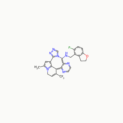 Cc1cc2c3n1CC=C(C(F)(F)F)C3=c1nccnc1=C(NCc1c(F)ccc3c1CCO3)n1cnnc1-2